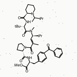 COC(=O)[C@H](Cc1ccc(C(=O)c2ccccc2)cc1)NC(=O)[C@@H]1CCCN1C(=O)/C(C)=C/[C@H](C(C)C)N(C)C(=O)[C@@H](NC(=O)[C@H]1CCCCN1C(C)C(C)C)C(C)(C)C